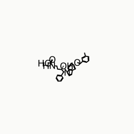 Cc1cccc(COc2ccc3c(ccn3[C@@H](c3ccccc3)[C@H](O)CCNC(=O)O)c2)c1